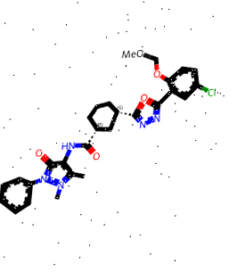 COCOc1ccc(Cl)cc1-c1nnc([C@H]2CCC[C@@H](C(=O)Nc3c(C)n(C)n(-c4ccccc4)c3=O)C2)o1